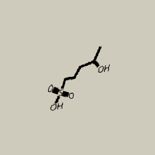 CC(O)CCCS(=O)(=O)O